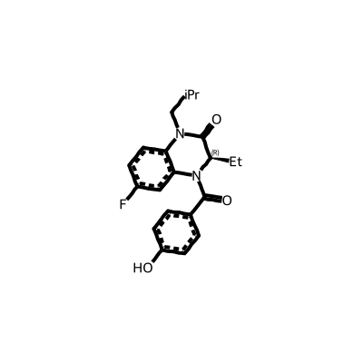 CC[C@@H]1C(=O)N(CC(C)C)c2ccc(F)cc2N1C(=O)c1ccc(O)cc1